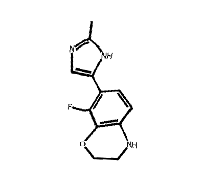 Cc1ncc(-c2ccc3c(c2F)OCCN3)[nH]1